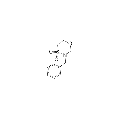 O=S1(=O)CCOCN1Cc1ccccc1